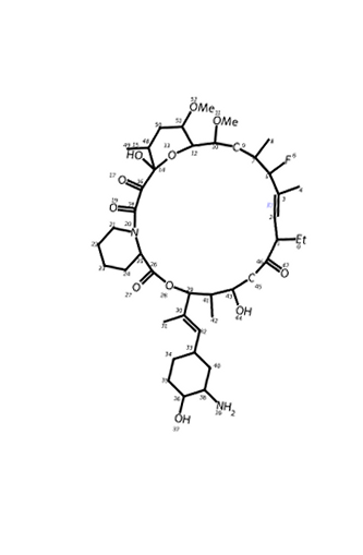 CCC1/C=C(\C)C(F)C(C)CC(OC)C2OC(O)(C(=O)C(=O)N3CCCCC3C(=O)OC(C(C)=CC3CCC(O)C(N)C3)C(C)C(O)CC1=O)C(C)CC2OC